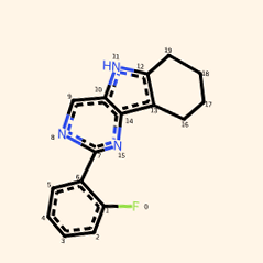 Fc1ccccc1-c1ncc2[nH]c3c(c2n1)CCCC3